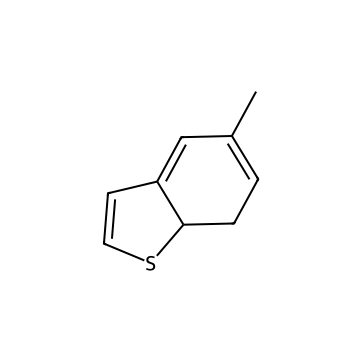 CC1=CCC2SC=CC2=C1